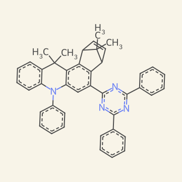 CC1(C)c2ccccc2N(c2ccccc2)c2cc(-c3nc(-c4ccccc4)nc(-c4ccccc4)n3)c3c(c21)C1C=CC3C1(C)C